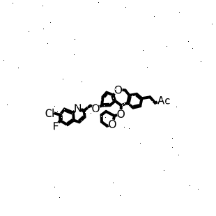 CC(=O)CCc1ccc2c(c1)COc1ccc(OCc3ccc4cc(F)c(Cl)cc4n3)cc1C2OC1CCCCO1